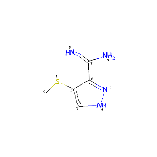 CSc1c[nH]nc1C(=N)N